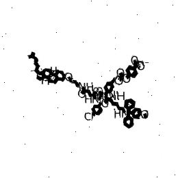 COc1ccc(C(NCCCC[C@H](N)C(=O)N(C(=O)[C@H](Cc2ccc(Cl)cc2)NC(=O)CCC(=O)NCCCOC2CC[C@@]3(C)C(=CC[C@H]4[C@@H]5CC[C@H]([C@H](C)CCCC(C)C)[C@@]5(C)CC[C@@H]43)C2)c2ccc(COC(=O)Oc3ccc([N+](=O)[O-])cc3)cc2)(c2ccccc2)c2ccccc2)cc1